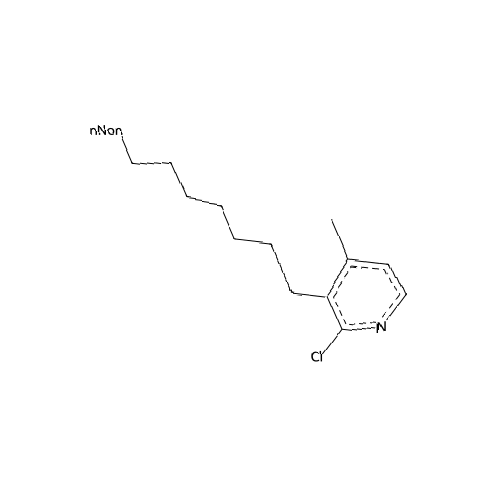 CCCCCCCCCCCCCCCCc1c(C)ccnc1Cl